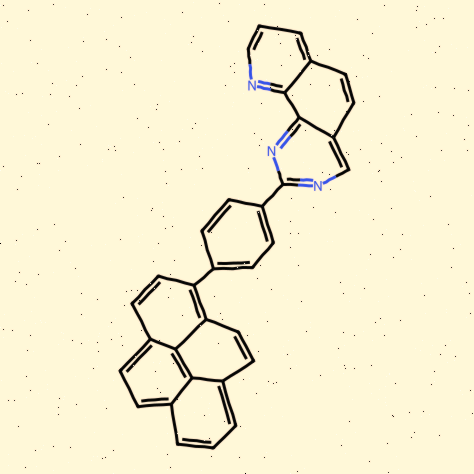 c1cnc2c(c1)ccc1cnc(-c3ccc(-c4ccc5ccc6cccc7ccc4c5c67)cc3)nc12